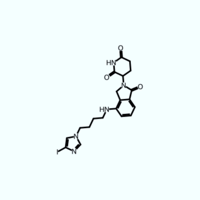 O=C1CCC(N2Cc3c(NCCCCn4cnc(I)c4)cccc3C2=O)C(=O)N1